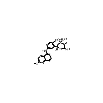 COc1cnc2c(Nc3cc([C@]4(C)CS(O)(O)N(C)C(=N)N4)c(F)cn3)nccc2n1